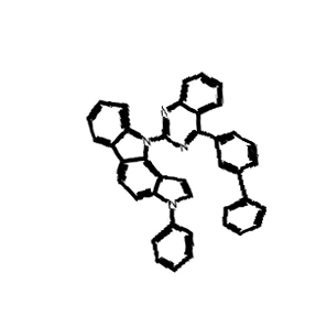 c1ccc(-c2cccc(-c3nc(-n4c5ccccc5c5ccc6c(ccn6-c6ccccc6)c54)nc4ccccc34)c2)cc1